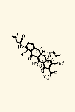 C[C@H]1c2ccc(NC(=O)CN(C)C)c(O)c2C(=O)C2=C(O)[C@]3(O)C(=O)C(C(N)=O)=C(O)[C@@H](N(C)C)[C@@H]3[C@@H](O)[C@@H]21